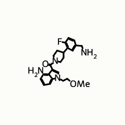 COCCn1cc(C(=O)N2CCC(c3cc(CN)ccc3F)CC2)c2c(N)cccc21